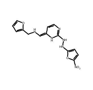 O=[N+]([O-])c1ccc(NNC2=NC=CC(=CNCc3ccco3)N2)o1